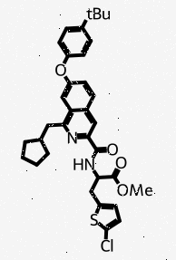 COC(=O)C(Cc1ccc(Cl)s1)NC(=O)c1cc2ccc(Oc3ccc(C(C)(C)C)cc3)cc2c(CC2CCCC2)n1